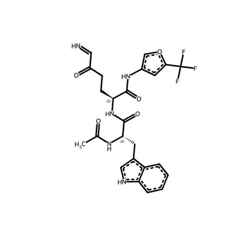 CC(=O)N[C@@H](Cc1c[nH]c2ccccc12)C(=O)N[C@@H](CCC(=O)C=N)C(=O)Nc1coc(C(F)(F)F)c1